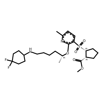 COC(=O)[C@H]1CCC[C@H]1S(=O)(=O)c1ccc(C)nc1O[C@H](C)CCCCNC1CCC(F)(F)CC1